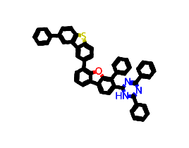 c1ccc(C2=NC(c3ccc4c(oc5c(-c6ccc7sc8ccc(-c9ccccc9)cc8c7c6)cccc54)c3-c3ccccc3)NC(c3ccccc3)=N2)cc1